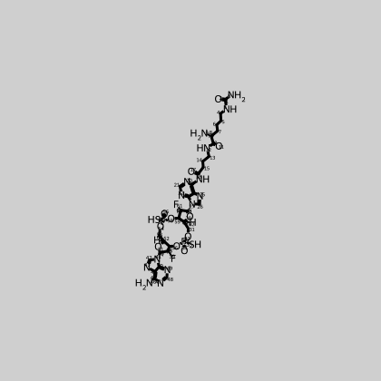 NC(=O)NCCCC[C@H](N)C(=O)NCCCC(=O)Nc1ncnc2c1ncn2[C@@H]1O[C@@H]2CO[P@@](=O)(S)OC3[C@@H](F)[C@H](n4cnc5c(N)ncnc54)O[C@@H]3CO[P@@](=O)(S)OC2[C@H]1F